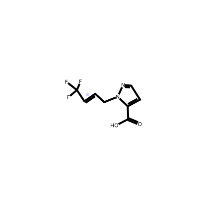 O=C(O)c1ccnn1C/C=C/C(F)(F)F